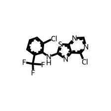 FC(F)(F)c1cccc(Cl)c1Nc1nc2c(Cl)ncnc2s1